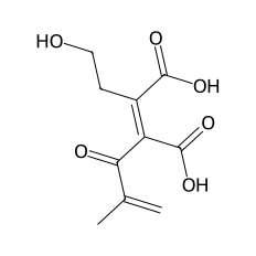 C=C(C)C(=O)/C(C(=O)O)=C(\CCO)C(=O)O